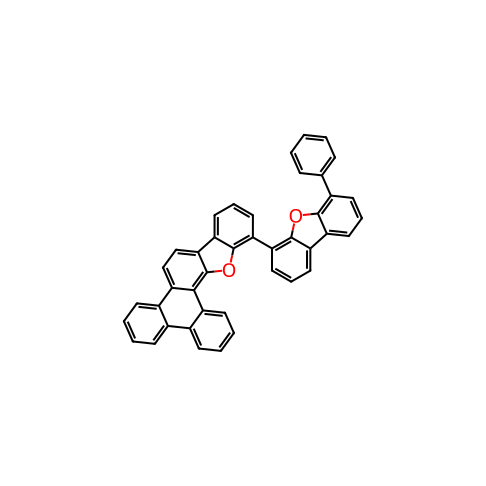 c1ccc(-c2cccc3c2oc2c(-c4cccc5c4oc4c5ccc5c6ccccc6c6ccccc6c54)cccc23)cc1